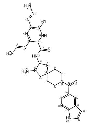 NN=NC1=NC(N=NN)=C(Cl)NC1C(=O)NC1NC2(CCN(C(=O)c3cnc4[nH]ccc4c3)CC2)CN1N